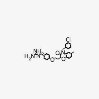 Cc1ccc2c(c1)N(Cc1cccc(Cl)c1)C(=O)C(CCOc1ccc(C(C)N=C(N)N)cc1)O2